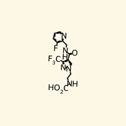 O=C(O)NCCn1cc(C(=O)NCc2ncccc2F)c(C(F)(F)F)n1